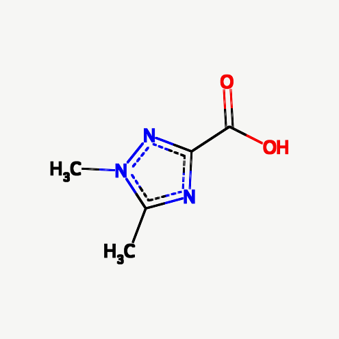 Cc1nc(C(=O)O)nn1C